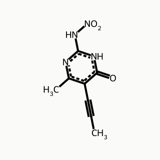 CC#Cc1c(C)nc(N[N+](=O)[O-])[nH]c1=O